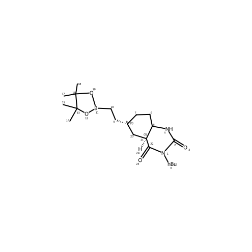 CCCCN1C(=O)NC2CC[C@@H](CCB3OC(C)(C)C(C)(C)O3)C[C@@H]2C1=O